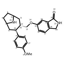 COc1ccc([C@H]2CC3CCC(C[C@@H]2COc2ccc4c(c2)C(=O)NC4)N3)cc1